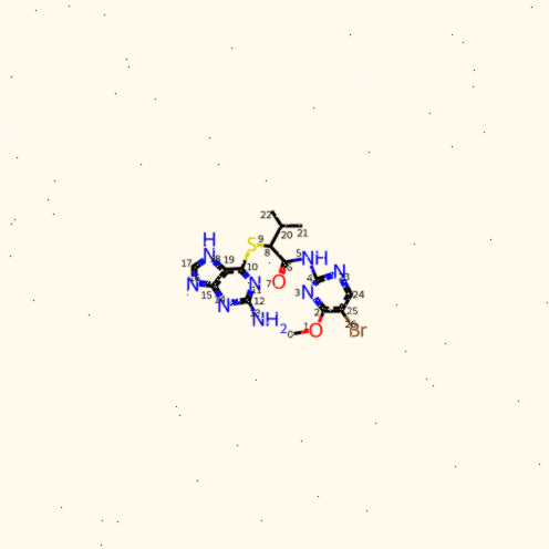 COc1nc(NC(=O)C(Sc2nc(N)nc3nc[nH]c23)C(C)C)ncc1Br